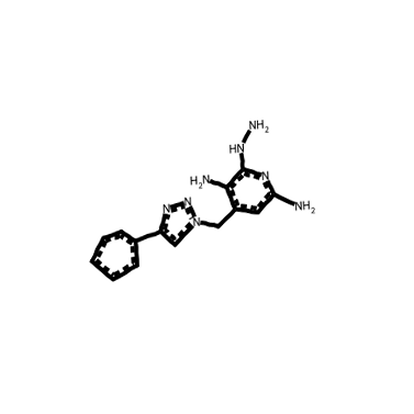 NNc1nc(N)cc(Cn2cc(-c3ccccc3)nn2)c1N